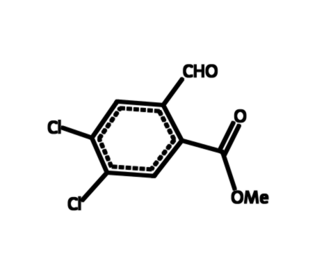 COC(=O)c1cc(Cl)c(Cl)cc1C=O